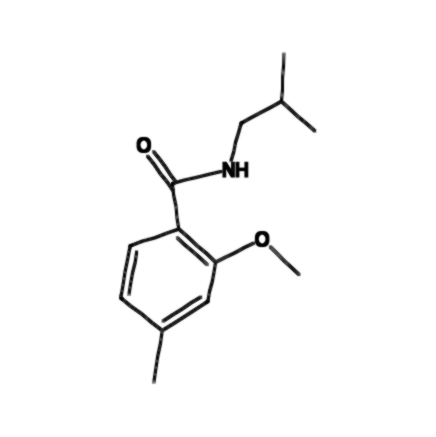 COc1cc(C)ccc1C(=O)NCC(C)C